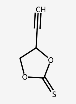 C#CC1COC(=S)O1